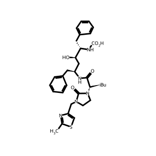 CC[C@H](C)[C@@H](C(=O)N[C@@H](Cc1ccccc1)C[C@@H](O)[C@H](Cc1ccccc1)NC(=O)O)N1CCN(Cc2csc(C)n2)C1=O